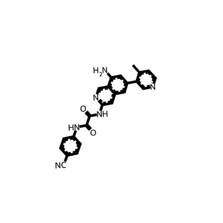 Cc1ccncc1-c1cc(N)c2cnc(NC(=O)C(=O)Nc3ccc(C#N)cc3)cc2c1